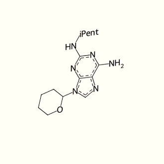 CCCC(C)Nc1nc(N)c2ncn(C3CCCCO3)c2n1